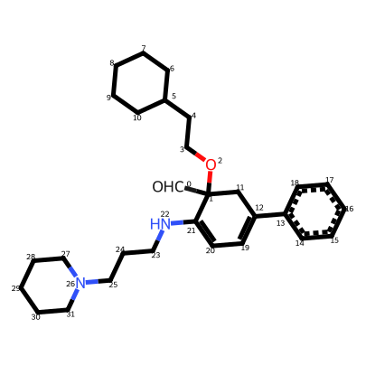 O=CC1(OCCC2CCCCC2)CC(c2ccccc2)=CC=C1NCCCN1CCCCC1